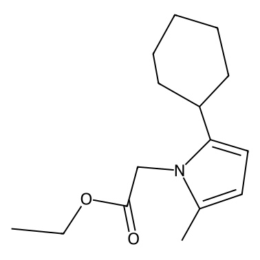 CCOC(=O)Cn1c(C)ccc1C1CCCCC1